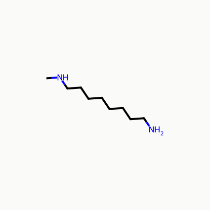 CNCCCCCCCCN